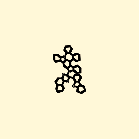 c1ccc2c(c1)-c1ccccc1-n1c3ccccc3c3cc4c(c-2c31)c1ccccc1n4-c1nc2ccc3ccccc3c2nc1-c1cccc2c1oc1ccccc12